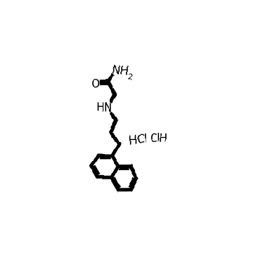 Cl.Cl.NC(=O)CNCCCc1cccc2ccccc12